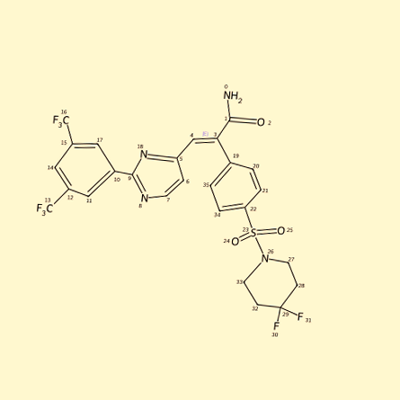 NC(=O)/C(=C/c1ccnc(-c2cc(C(F)(F)F)cc(C(F)(F)F)c2)n1)c1ccc(S(=O)(=O)N2CCC(F)(F)CC2)cc1